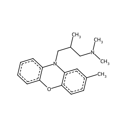 Cc1ccc2c(c1)N(CC(C)CN(C)C)c1ccccc1O2